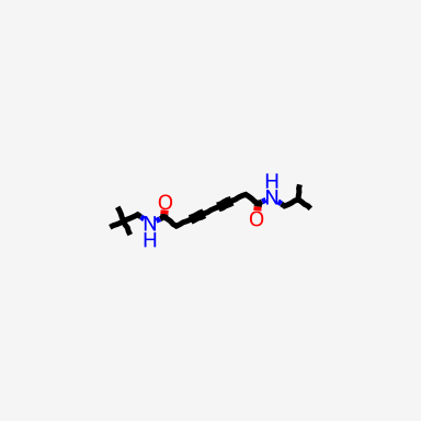 CC(C)CNC(=O)CC#CC#CCC(=O)NCC(C)(C)C